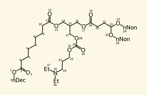 CCCCCCCCCCOC(=O)CCCCCCCC(=O)OCC(COC(=O)CCC(OCCCCCCCCC)OCCCCCCCCC)COC(=O)OCCCN(CC)CC